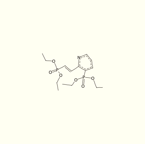 CCOP(=O)(C=Cc1ncccc1P(=O)(OCC)OCC)OCC